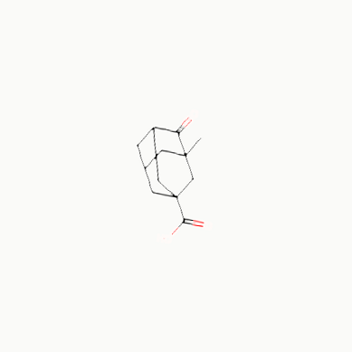 CC12CC3CC(CC(C(=O)O)(C3)C1)C2=O